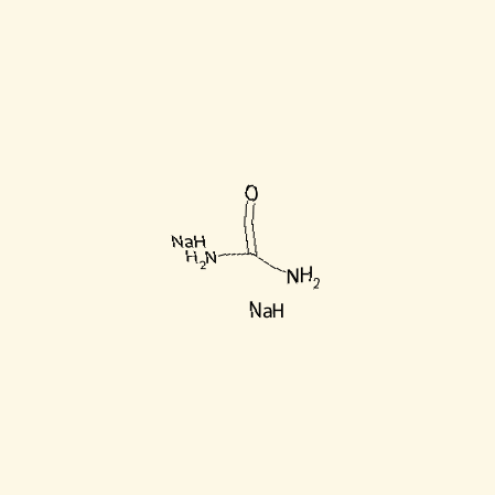 NC(N)=O.[NaH].[NaH]